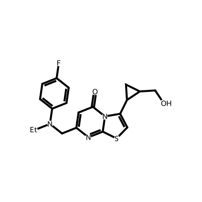 CCN(Cc1cc(=O)n2c(C3CC3CO)csc2n1)c1ccc(F)cc1